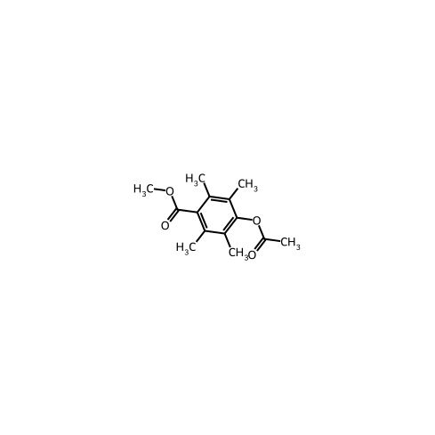 COC(=O)c1c(C)c(C)c(OC(C)=O)c(C)c1C